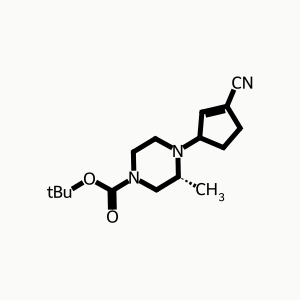 C[C@@H]1CN(C(=O)OC(C)(C)C)CCN1C1C=C(C#N)CC1